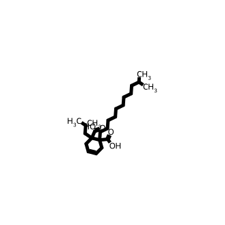 CC(C)CCCCCCCCCC1(C(=O)O)CC=CCC1(CC(C)C)C(=O)O